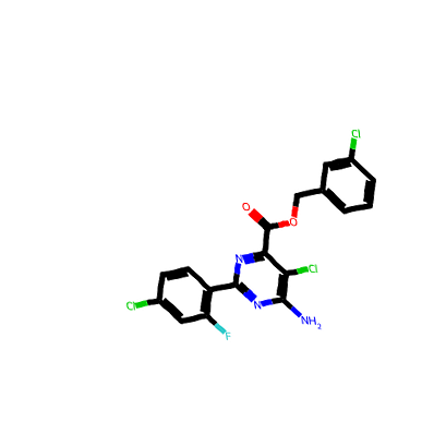 Nc1nc(-c2ccc(Cl)cc2F)nc(C(=O)OCc2cccc(Cl)c2)c1Cl